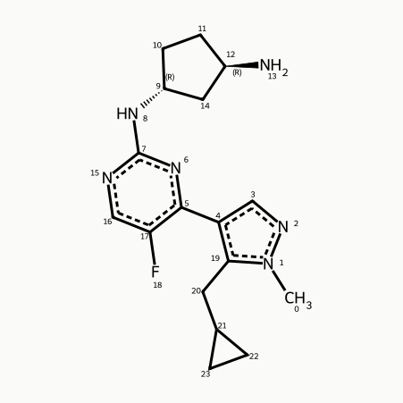 Cn1ncc(-c2nc(N[C@@H]3CC[C@@H](N)C3)ncc2F)c1CC1CC1